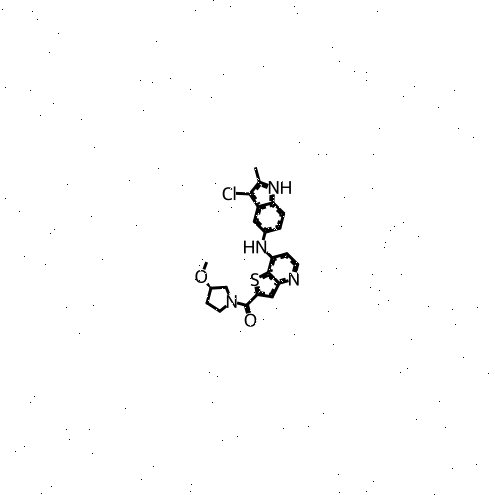 CO[C@@H]1CCN(C(=O)c2cc3nccc(Nc4ccc5[nH]c(C)c(Cl)c5c4)c3s2)C1